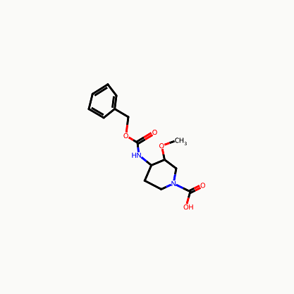 COC1CN(C(=O)O)CCC1NC(=O)OCc1ccccc1